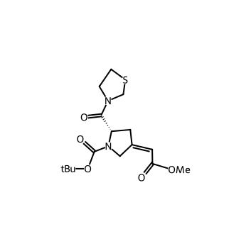 COC(=O)C=C1C[C@@H](C(=O)N2CCSC2)N(C(=O)OC(C)(C)C)C1